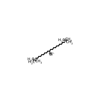 C[N+](C)(C)CCCCCCCCCCCCCCCCCCCC[N+](C)(C)C.[Br-].[Br-]